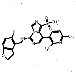 Cc1nc(C(F)(F)F)ccc1-c1cnc(NCc2c(F)ccc3c2CCO3)n2cnc(S(C)(=O)=O)c12